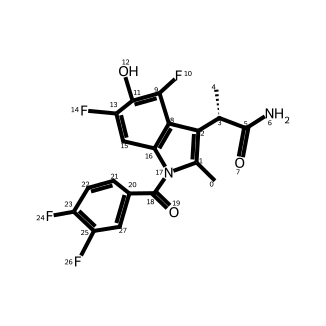 Cc1c([C@H](C)C(N)=O)c2c(F)c(O)c(F)cc2n1C(=O)c1ccc(F)c(F)c1